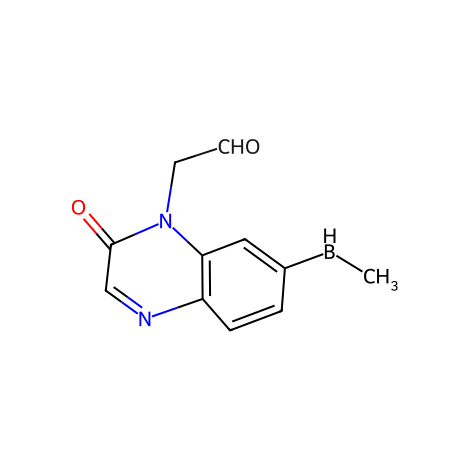 CBc1ccc2ncc(=O)n(CC=O)c2c1